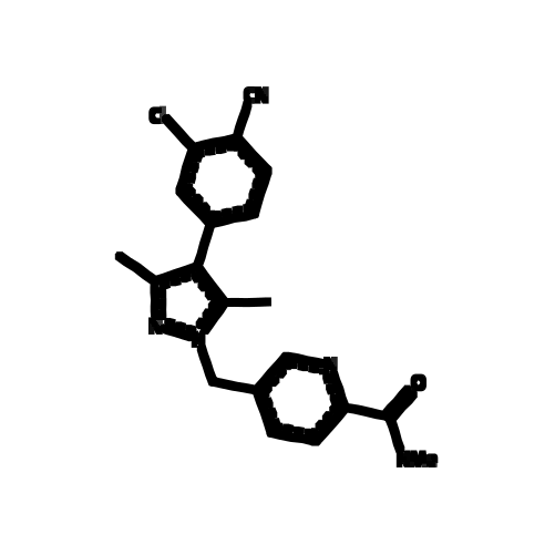 CNC(=O)c1ccc(Cn2nc(C)c(-c3ccc(C#N)c(Cl)c3)c2C)cn1